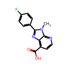 Cn1c(-c2ccc(F)cc2)nc2c(C(=O)O)ccnc21